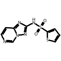 O=S(=O)(Nc1nc2ccncn2n1)c1cccs1